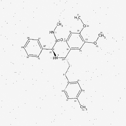 CNC(=O)[C@@H](N[C@@H](CCc1ccc(C)cc1)c1ccc(OC)c(OC)c1)c1ccccc1